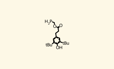 CC(C)(C)c1cc(CCC(=O)OCP)cc(C(C)(C)C)c1O